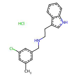 Cc1cc(Cl)cc(CNCCc2c[nH]c3ccccc23)c1.Cl